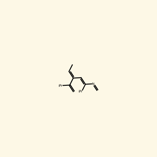 C=N/C(=C/C(=C\C)C(=C)C(C)C)C(C)C